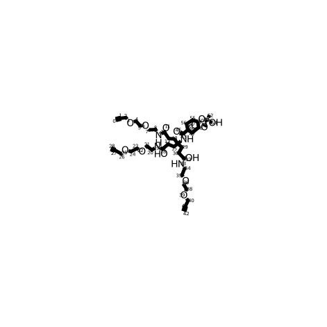 C#CCOCCOCCNC(=O)CCC(CCC(=O)NCCOCCOCC#C)(CCC(O)NCCOCCOCC#C)NC(=O)C12CCC(OP(C)(=O)O)(CC1)CC2